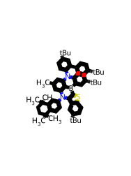 Cc1cc2c3c(c1)N(c1ccc4c(c1)C(C)(C)CCC4(C)C)c1c(sc4ccc(C(C)(C)C)cc14)B3c1cc(C(C)(C)C)ccc1N2c1ccc(C(C)(C)C)cc1-c1ccc(C(C)(C)C)cc1